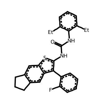 CCc1cccc(CC)c1NC(=O)Nc1sc2cc3c(cc2c1-c1ccccc1F)CCC3